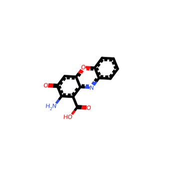 Nc1c(C(=O)O)c2nc3ccccc3oc-2cc1=O